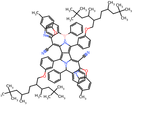 Cc1ccc2oc(/C(C#N)=c3/c4c(-c5cccc(OCC(CCC(C)CC(C)(C)C)C(C)CC(C)(C)C)c5)n(C(c5ccccc5)c5ccccc5)/c(=C(/C#N)c5nc6cc(C)ccc6o5)c4c(-c4cccc(OCC(CCC(C)CC(C)(C)C)C(C)CC(C)(C)C)c4)n3B(c3ccccc3)c3ccccc3)nc2c1